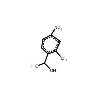 CC(O)c1ccc([N+](=O)[O-])cc1C(F)(F)F